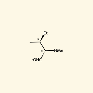 CC[C@H](C)[C@@H]([C]=O)NC